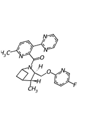 Cc1ccc(-c2ncccn2)c(C(=O)N2C3CC(C3)[C@@H](C)[C@@H]2COc2ccc(F)cn2)n1